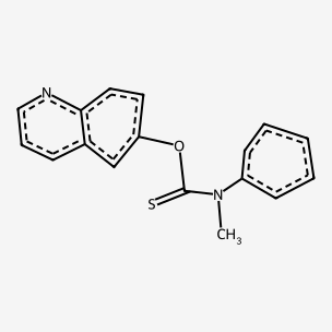 CN(C(=S)Oc1ccc2ncccc2c1)c1ccccc1